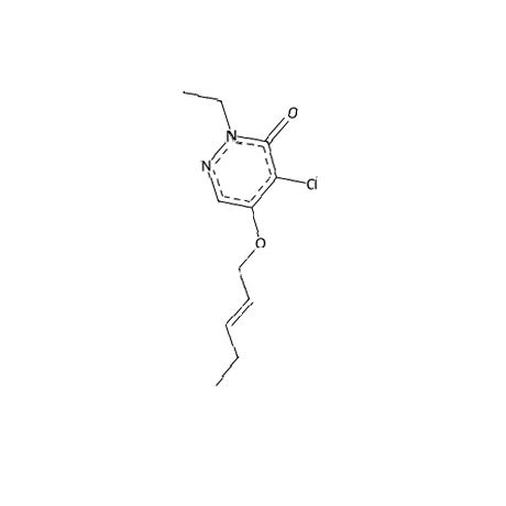 CCC=CCOc1cnn(CC)c(=O)c1Cl